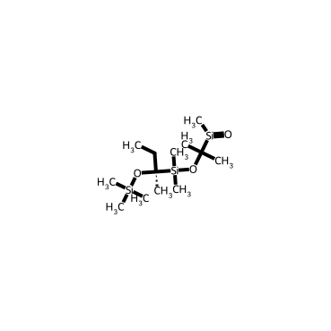 CC[C@](C)(O[Si](C)(C)C)[Si](C)(C)OC(C)(C)[Si](C)=O